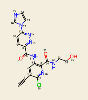 C#Cc1cc(NC(=O)c2ccc(-n3ccnc3)nn2)c(C(=O)NCCO)nc1Cl